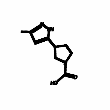 Cc1cc(C2CCN(C(=O)O)C2)[nH]n1